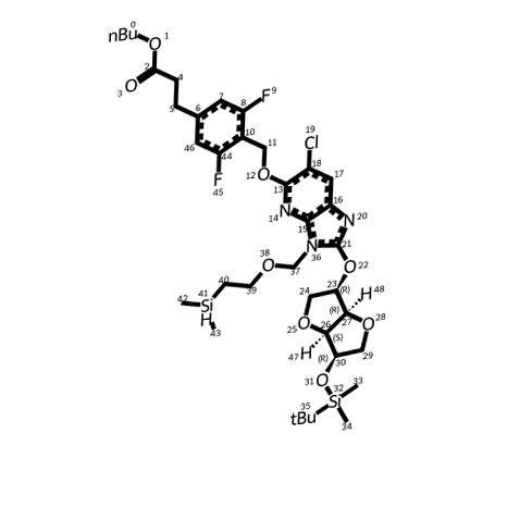 CCCCOC(=O)CCc1cc(F)c(COc2nc3c(cc2Cl)nc(O[C@@H]2CO[C@H]4[C@@H]2OC[C@H]4O[Si](C)(C)C(C)(C)C)n3COCC[SiH](C)C)c(F)c1